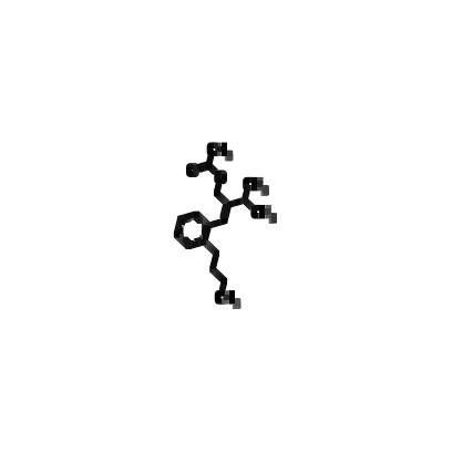 CCCCc1ccccc1C=C(COC(C)=O)C(C)C